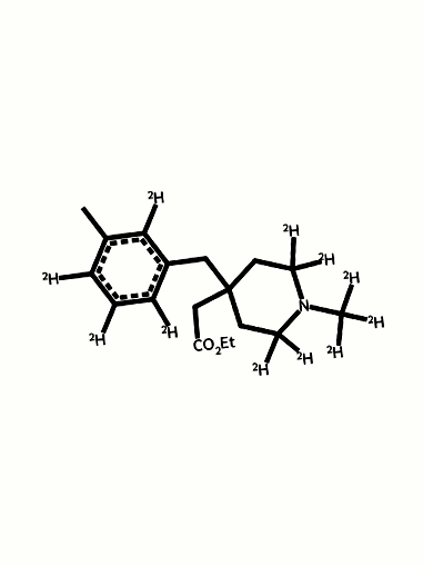 [2H]c1c([2H])c(C)c([2H])c(CC2(CC(=O)OCC)CC([2H])([2H])N(C([2H])([2H])[2H])C([2H])([2H])C2)c1[2H]